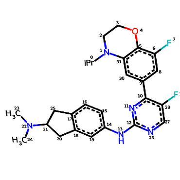 CC(C)N1CCOc2c(F)cc(-c3nc(Nc4ccc5c(c4)CC(N(C)C)C5)ncc3F)cc21